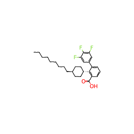 CCCCCCCCC[C@H]1CC[C@H](c2c(C(=O)O)cccc2-c2cc(F)c(F)c(F)c2)CC1